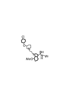 B=C(NCC(C)C)c1cn(CCCN2CCCC(Oc3ccc(Cl)cc3)C2)c2c(OC)cccc12